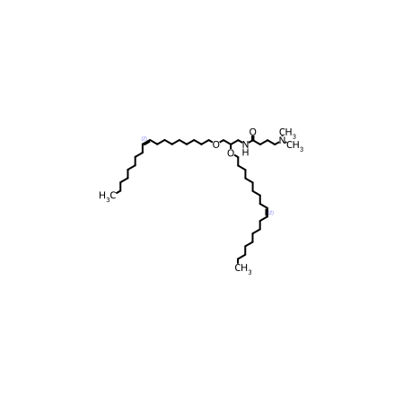 CCCCCCCC/C=C\CCCCCCCCOCC(CNC(=O)CCCN(C)C)OCCCCCCCC/C=C\CCCCCCCC